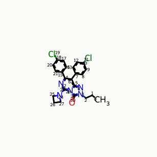 CCCn1nc2c(-c3ccc(Cl)cc3)c(-c3ccc(Cl)cc3)nc(N3CCC3)n2c1=O